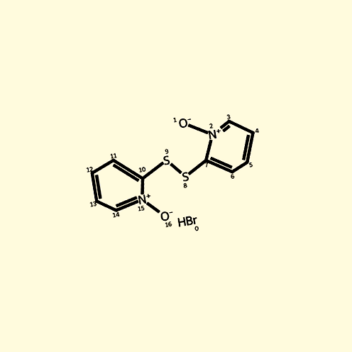 Br.[O-][n+]1ccccc1SSc1cccc[n+]1[O-]